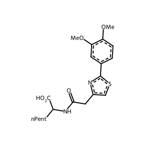 CCCCCC(NC(=O)Cc1csc(-c2ccc(OC)c(OC)c2)n1)C(=O)O